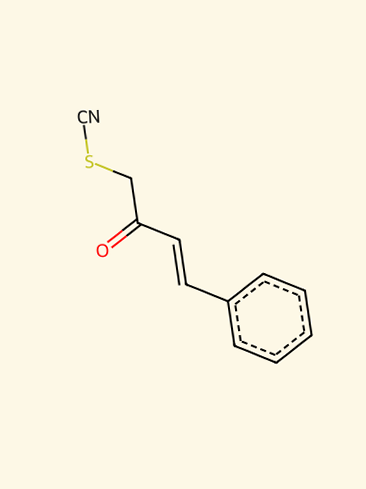 N#CSCC(=O)C=Cc1ccccc1